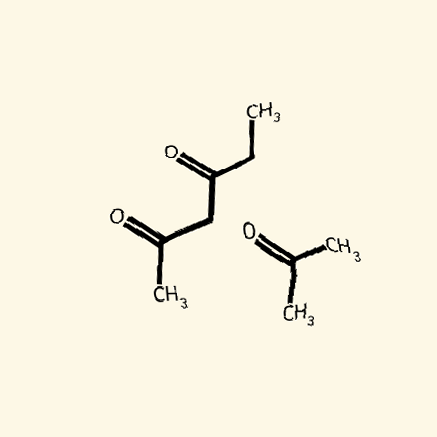 CC(C)=O.CCC(=O)CC(C)=O